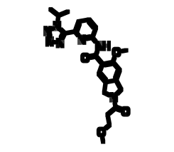 COCCC(=O)N1Cc2cc(OC)c(C(=O)Nc3cccc(-c4nnnn4C(C)C)n3)cc2C1